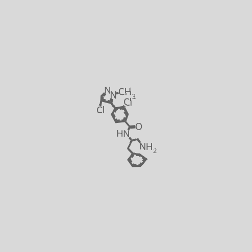 Cn1ncc(Cl)c1-c1ccc(C(=O)NC(CN)Cc2ccccc2)cc1Cl